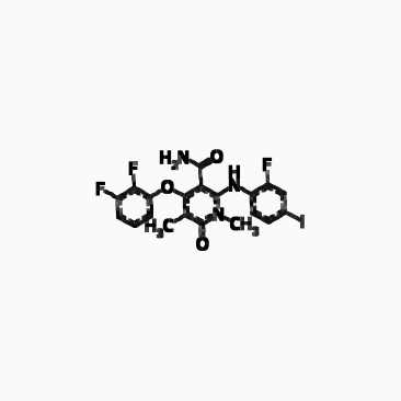 Cc1c(Oc2cccc(F)c2F)c(C(N)=O)c(Nc2ccc(I)cc2F)n(C)c1=O